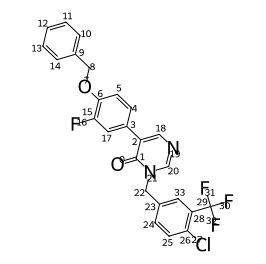 O=c1c(-c2ccc(OCc3ccccc3)c(F)c2)cncn1Cc1ccc(Cl)c(C(F)(F)F)c1